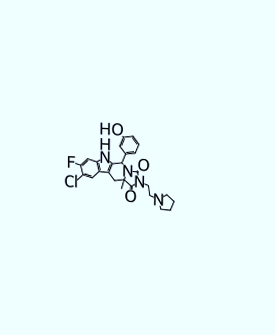 CC12Cc3c([nH]c4cc(F)c(Cl)cc34)C(c3cccc(O)c3)N1C(=O)N(CCN1CCCC1)C2=O